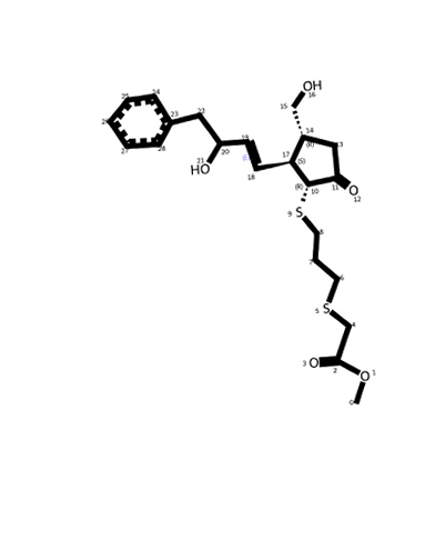 COC(=O)CSCCCS[C@H]1C(=O)C[C@@H](CO)[C@@H]1/C=C/C(O)Cc1ccccc1